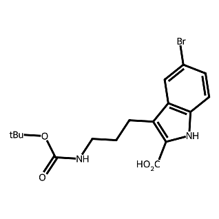 CC(C)(C)OC(=O)NCCCc1c(C(=O)O)[nH]c2ccc(Br)cc12